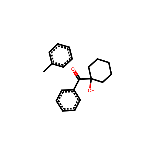 Cc1ccccc1.O=C(c1ccccc1)C1(O)CCCCC1